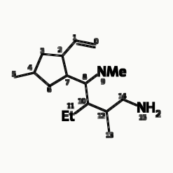 C=CC1CC(C)CC1C(NC)C(CC)C(C)CN